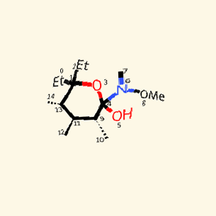 CCC1(CC)OC(O)(N(C)OC)[C@H](C)[C@@H](C)[C@@H]1C